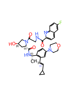 C[C@H](NC(=O)[C@@H]1C[C@@H](O)CN1C(=O)CNC(=O)c1ccc2cc(F)ccc2n1)c1ccc(N2CCOCC2)cc1/C=C/C1CC1